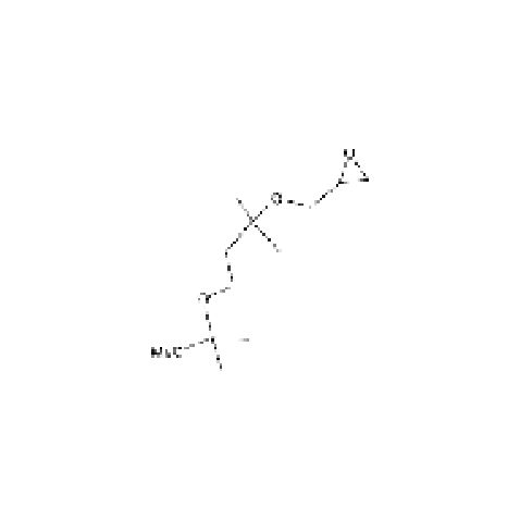 COC(C)(C)OCCC(C)(C)OCC1CO1